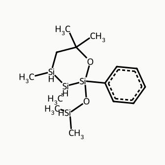 C[SiH](C)O[Si]1(c2ccccc2)OC(C)(C)C[SiH](C)[SiH]1C